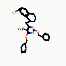 O=[N+]([O-])c1c(CC2CCCc3ccc(Cl)cc32)nc(OCc2ccccc2)nc1OCc1ccccc1